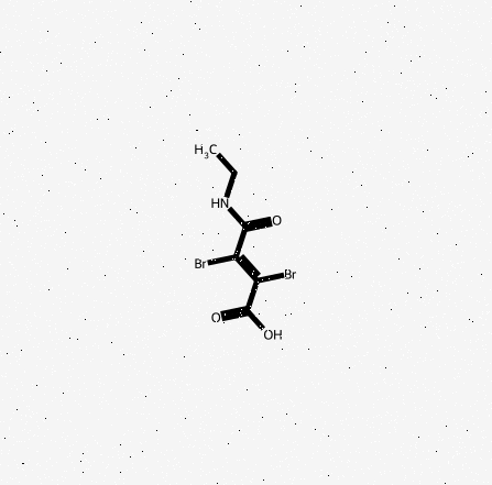 CCNC(=O)C(Br)=C(Br)C(=O)O